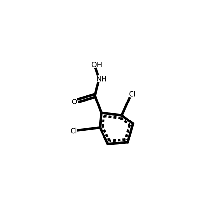 O=C(NO)c1c(Cl)cccc1Cl